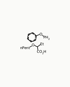 CCCCCOC(CC)C(=O)O.POc1ccccc1